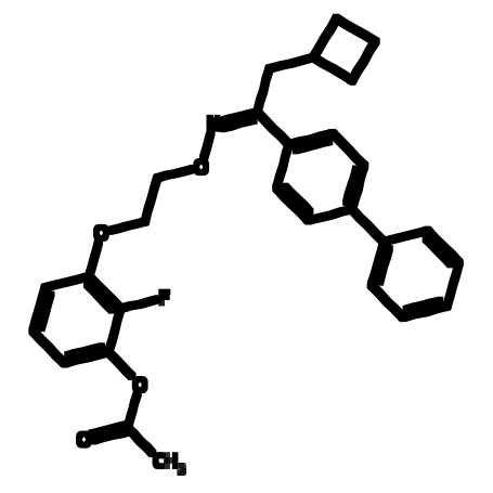 CC(=O)Oc1cccc(OCCON=C(CC2CCC2)c2ccc(-c3ccccc3)cc2)c1F